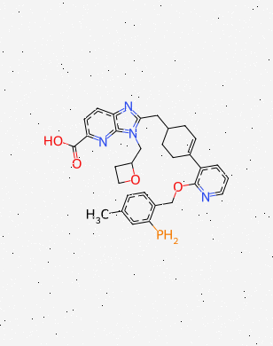 Cc1ccc(COc2ncccc2C2=CCC(Cc3nc4ccc(C(=O)O)nc4n3CC3CCO3)CC2)c(P)c1